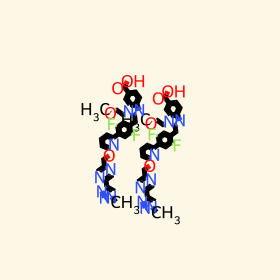 COCCn1c(Cc2cc(F)c(-c3cccc(OCc4cnc(-c5cn(C)nn5)cn4)n3)cc2F)nc2ccc(C(=O)O)cc21.COCCn1c(Cc2cc(F)c(-c3cccc(OCc4cnc(-c5cn(C)nn5)cn4)n3)cc2F)nc2ccc(C(=O)O)cc21